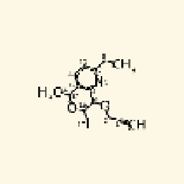 C#CCOC1c2nc(CC)ccc2C(C)OC1I